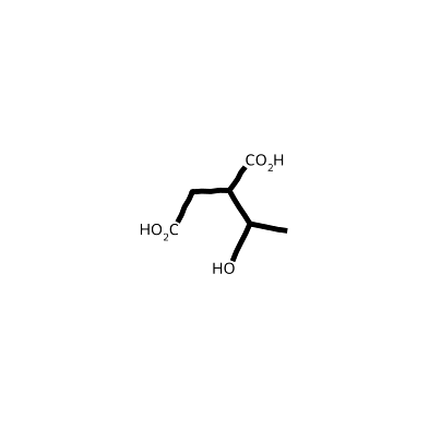 CC(O)C(CC(=O)O)C(=O)O